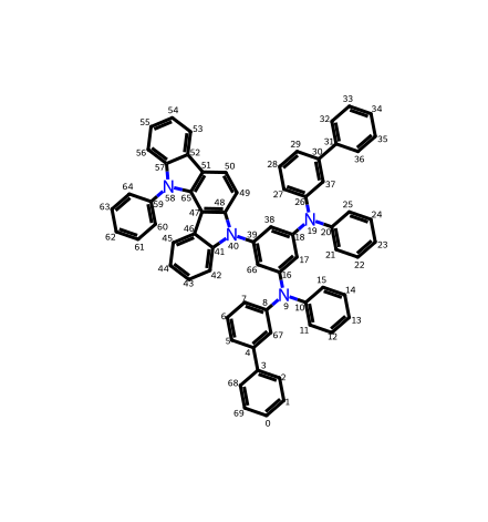 c1ccc(-c2cccc(N(c3ccccc3)c3cc(N(c4ccccc4)c4cccc(-c5ccccc5)c4)cc(-n4c5ccccc5c5c4ccc4c6ccccc6n(-c6ccccc6)c45)c3)c2)cc1